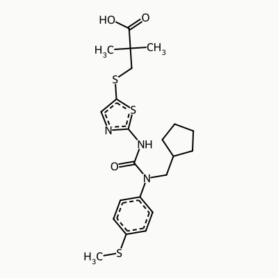 CSc1ccc(N(CC2CCCC2)C(=O)Nc2ncc(SCC(C)(C)C(=O)O)s2)cc1